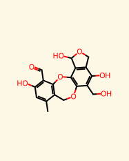 Cc1cc(O)c(C=O)c2c1COc1c(CO)c(O)c3c(c1O2)C(O)OC3